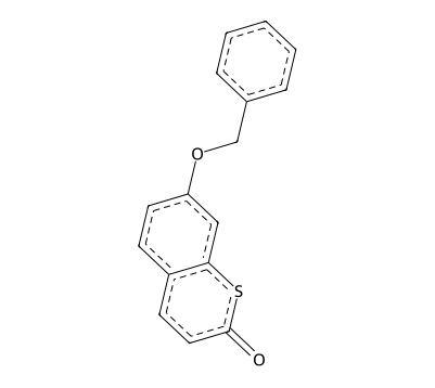 O=c1ccc2ccc(OCc3ccccc3)cc2s1